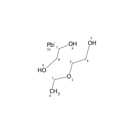 CCOCCO.OCCO.[Pb]